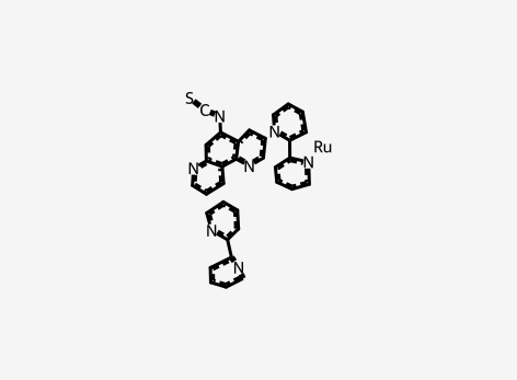 S=C=Nc1cc2ncccc2c2ncccc12.[Ru].c1ccc(-c2ccccn2)nc1.c1ccc(-c2ccccn2)nc1